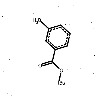 Bc1cccc(C(=O)OC(C)(C)C)c1